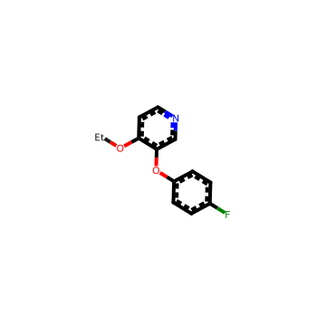 CCOc1ccncc1Oc1ccc(F)cc1